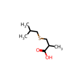 CC(C)CSCC(C)C(=O)O